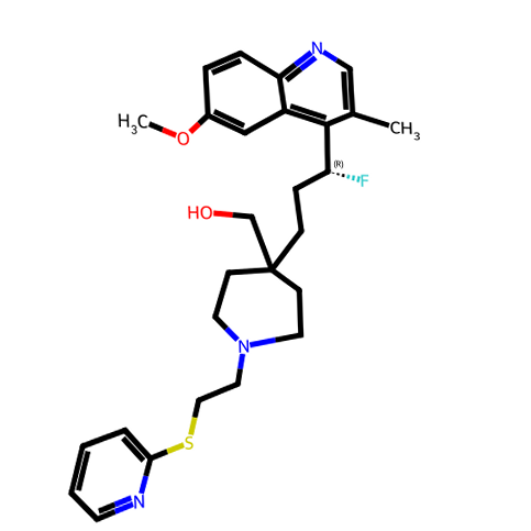 COc1ccc2ncc(C)c([C@H](F)CCC3(CO)CCN(CCSc4ccccn4)CC3)c2c1